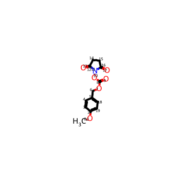 COc1ccc(COC(=O)ON2C(=O)CCC2=O)cc1